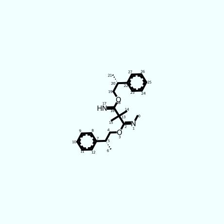 C/N=C(/OC[C@H](C)c1ccccc1)C(C)(C)C(=N)OC[C@H](C)c1ccccc1